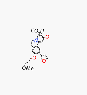 COCCCOc1cc2c(cc1-c1ccoc1)-c1cc(=O)c(C(=O)O)cn1CC2